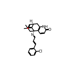 C/C=C1\[C@H]2C=C(C)C[C@]1(/N=C/C=C/c1ccccc1Cl)c1ccc(=O)[nH]c1C2